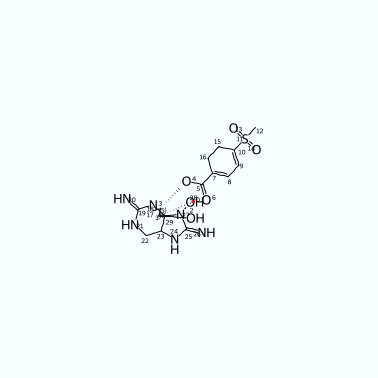 C[C@]1(O)[C@@H](OC(=O)C2=CC=C(S(C)(=O)=O)CC2)CN2C(=N)NCC3NC(=N)N(O)C321